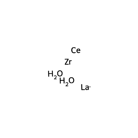 O.O.[Ce].[La].[Zr]